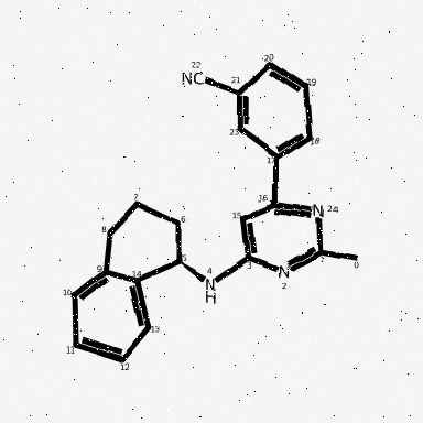 Cc1nc(N[C@@H]2CCCc3ccccc32)cc(-c2cccc(C#N)c2)n1